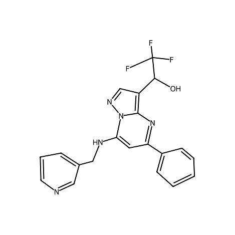 OC(c1cnn2c(NCc3cccnc3)cc(-c3ccccc3)nc12)C(F)(F)F